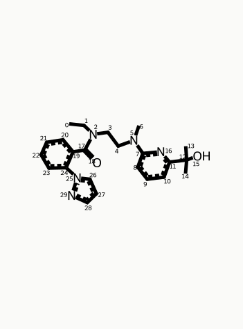 CCN(CCN(C)c1cccc(C(C)(C)O)n1)C(=O)c1ccccc1-n1cccn1